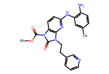 CC(C)(C)OC(=O)n1c(=O)n(CCc2cccnc2)c2nc(Nc3cc(C#N)ccc3N)ccc21